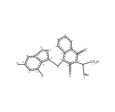 CCCCC(C(=O)O)n1c(=O)c2ccccc2n(Cc2nsc3cc(C)cc(C)c23)c1=O